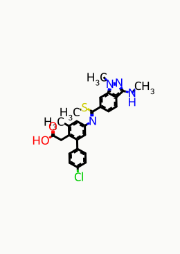 CNc1nn(C)c2cc(/C(=N/c3cc(C)c(CC(=O)O)c(-c4ccc(Cl)cc4)c3)SC)ccc12